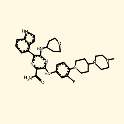 CN1CCN(C2CCN(c3ccc(Nc4nc(NC5CCOCC5)c(-c5cccc6[nH]ccc56)nc4C(N)=O)cc3F)CC2)CC1